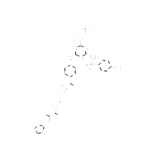 O=C(Cc1nccs1)C(=O)NCC(O)CNC(=O)c1ccc(Nc2nc(NC3(c4ccc(Cl)cc4)CC3)nc(OCC(F)(F)F)n2)cc1